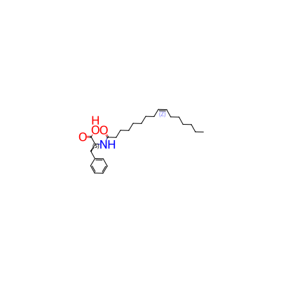 CCCCCC/C=C\CCCCCCCC(=O)N[C@@H](Cc1ccccc1)C(=O)O